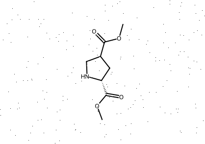 COC(=O)C1CN[C@@H](C(=O)OC)C1